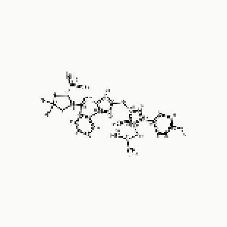 NC(=O)[C@H]1CC(F)(F)CN1C(=O)c1ccccc1-n1cnc(Cn2nc(-c3ccc(Cl)cc3)n(CC(O)C(F)(F)F)c2=O)n1